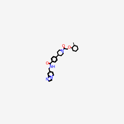 C[C@H]1CCCC[C@H]1OCC(=O)N1CCC(c2ccc(C(=O)NCc3ccn4ccnc4c3)cc2)CC1